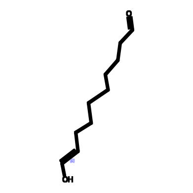 O=CCCCCCCC/C=C/O